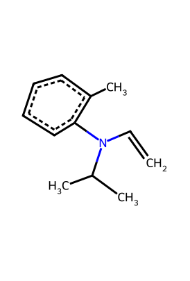 C=CN(c1ccccc1C)C(C)C